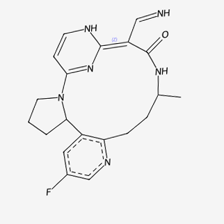 CC1CCc2ncc(F)cc2C2CCCN2C2=N/C(=C(/C=N)C(=O)N1)NC=C2